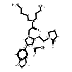 CCCCN(CCCCN)C(=O)CN1C[C@H](c2ccc3c(c2)OCO3)[C@@H](C(=O)O)[C@@H]1CCN1CCCC1=O